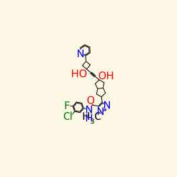 Cn1cnc(C2CC3CC(O)(C#CC4(O)CC(c5ccccn5)C4)CC3C2)c1C(=O)Nc1ccc(F)c(Cl)c1